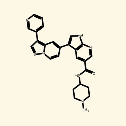 CN1CCC(NC(=O)c2cnc3[nH]cc(-c4ccn5ncc(-c6cccnc6)c5c4)c3c2)CC1